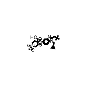 CC(C)(C)Cc1nc2cc(S(=O)(=O)C3(CO)CCN(S(C)(=O)=O)CC3)ccc2n1CC1CC1